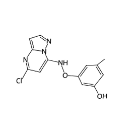 Cc1cc(O)cc(ONc2cc(Cl)nc3ccnn23)c1